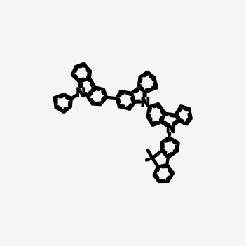 CC1(C)c2ccccc2-c2ccc(-n3c4ccccc4c4cc(-n5c6ccccc6c6cc(-c7ccc8c(c7)c7ccccc7n8-c7ccccc7)ccc65)ccc43)cc21